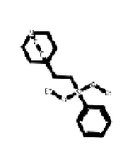 CCO[Si](CCC12CCN(CC1)CC2)(OCC)c1ccccc1